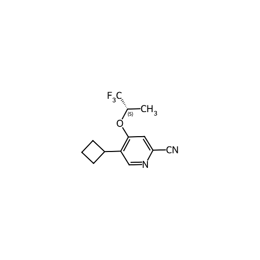 C[C@H](Oc1cc(C#N)ncc1C1CCC1)C(F)(F)F